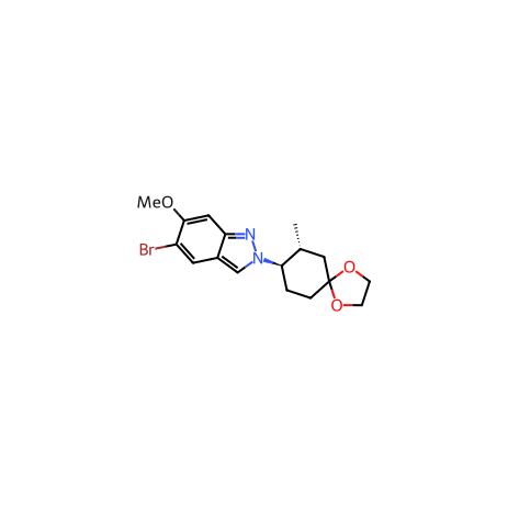 COc1cc2nn([C@@H]3CCC4(C[C@H]3C)OCCO4)cc2cc1Br